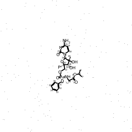 CC(C)OC(=O)[C@H](C)N[P@@](=O)(OC[C@@]1(F)O[C@@H](n2ccc(N)nc2=O)[C@](C)(O)[C@@H]1O)Oc1ccccc1